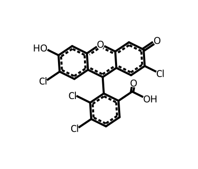 O=C(O)c1ccc(Cl)c(Cl)c1-c1c2cc(Cl)c(=O)cc-2oc2cc(O)c(Cl)cc12